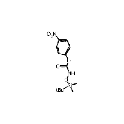 CC(C)(C)[Si](C)(C)ONC(=O)Oc1ccc([N+](=O)[O-])cc1